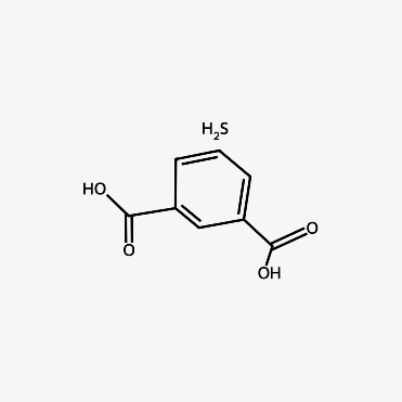 O=C(O)c1cccc(C(=O)O)c1.S